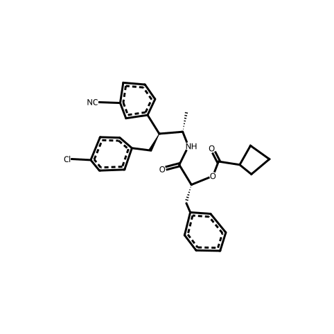 C[C@H](NC(=O)[C@@H](Cc1ccccc1)OC(=O)C1CCC1)[C@@H](Cc1ccc(Cl)cc1)c1cccc(C#N)c1